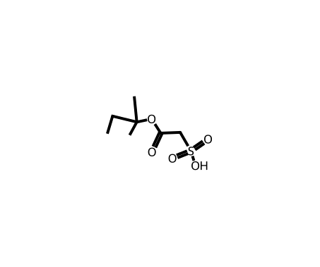 CCC(C)(C)OC(=O)CS(=O)(=O)O